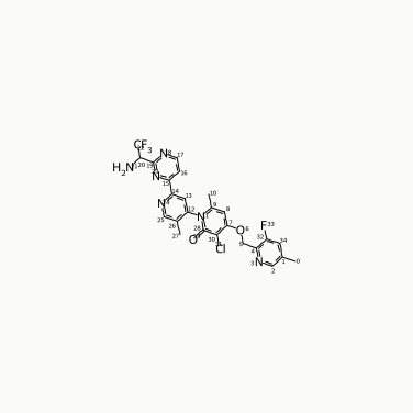 Cc1cnc(COc2cc(C)n(-c3cc(-c4ccnc(C(N)C(F)(F)F)n4)ncc3C)c(=O)c2Cl)c(F)c1